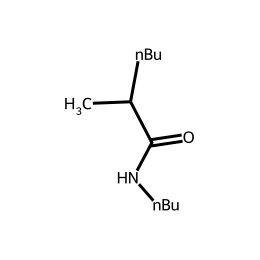 CCCCNC(=O)C(C)CCCC